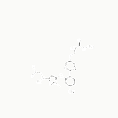 CCN(CC(F)F)c1cc(Oc2cc(C#N)ccc2-c2ncc(CCNC(=O)OC(C)(C)C)cn2)n(C)n1